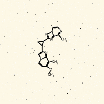 COc1ccn2cc(C3CC3c3nc4c(C)nccn4n3)nc2c1C